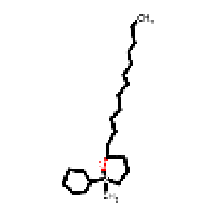 CCCCCCCCCCCCC1CCC[Si](C)(C2CCCCC2)O1